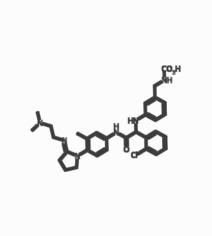 Cc1cc(NC(=O)C(Nc2cccc(CNC(=O)O)c2)c2ccccc2Cl)ccc1N1CCCC1=NCCN(C)C